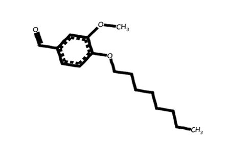 CCCCCCCCOc1ccc([C]=O)cc1OC